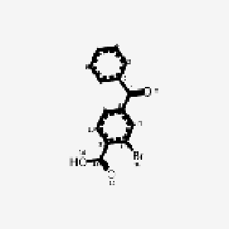 O=C(c1ccccc1)c1ccc(C(=O)O)c(Br)c1